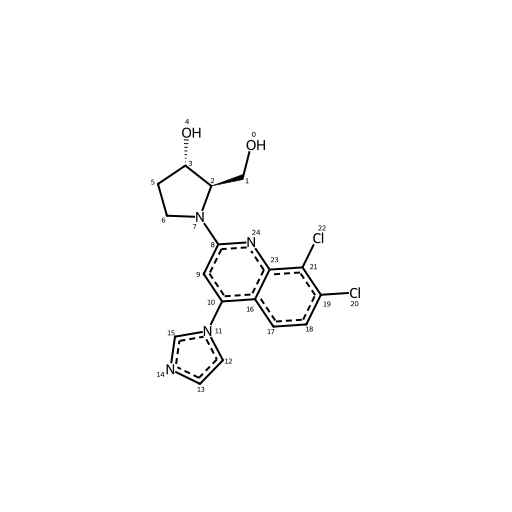 OC[C@@H]1[C@@H](O)CCN1c1cc(-n2ccnc2)c2ccc(Cl)c(Cl)c2n1